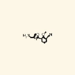 COc1c(C#N)cccc1-c1nc(CN)co1